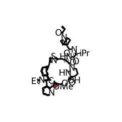 C=CC(=O)N1CC2CCC1CN2C(=O)N(C)[C@H](C(=O)N[C@H]1Cc2nc(cs2)-c2ccc3c(c2)c(c(-c2cccnc2[C@H](C)OC)n3CC)CC(C)(C)COC(=O)[C@@]2(O)CCCN(N2)C1=O)C(C)C